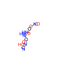 O=C(Nc1cc(-c2ccc(CN(Cc3cccnc3)C(=O)O)cc2)n[nH]1)c1ccc(OCCN2CCOCC2)cc1